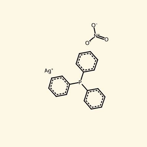 O=[N+]([O-])[O-].[Ag+].c1ccc(P(c2ccccc2)c2ccccc2)cc1